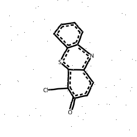 O=c1ccc2nc3ccccc3sc-2c1Cl